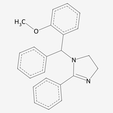 COc1ccccc1C(c1ccccc1)N1CCN=C1c1ccccc1